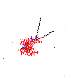 CCCCCCCCCCCCC/C=C/[C@@H](O)[C@H](CO[C@@H]1OC(CO)[C@@H](O[C@@H]2OC(CO)[C@H](O)[C@H](O[C@@H]3OC(CO)[C@@H](O[C@@H]4OC(CO)[C@H](O)[C@H](O)C4O)[C@H](O)C3NC(C)=O)C2O)[C@H](O)C1O)NC(=O)CCCCCCCCCCCCCCC